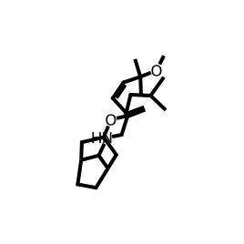 C=C(/C=C\C(C)(C)OC)CNC1C2CCC1CC(OCCC(C)C)C2